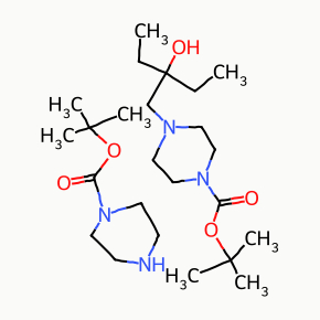 CC(C)(C)OC(=O)N1CCNCC1.CCC(O)(CC)CN1CCN(C(=O)OC(C)(C)C)CC1